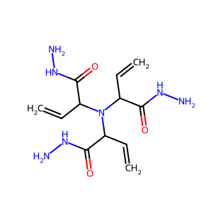 C=CC(C(=O)NN)N(C(C=C)C(=O)NN)C(C=C)C(=O)NN